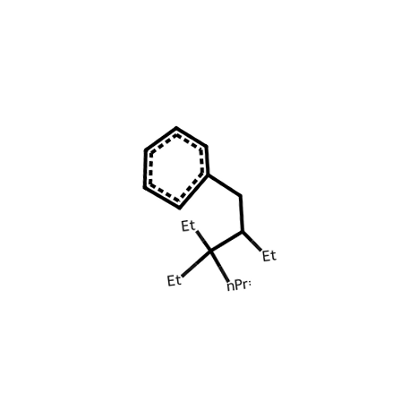 CC[C]C(CC)(CC)C(CC)Cc1ccccc1